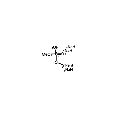 CCCCCOP(=O)(O)OC.[NaH].[NaH].[NaH]